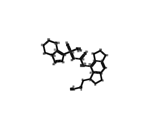 CC(C)(C)OCC1CCc2cc3c(c(NC(=O)N=S(N)(=O)c4cnn5c4OCCC5)c21)CCC3